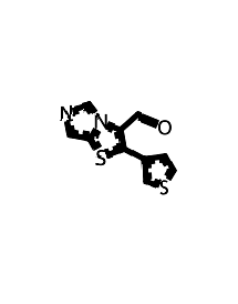 O=Cc1c(-c2ccsc2)sc2cncn12